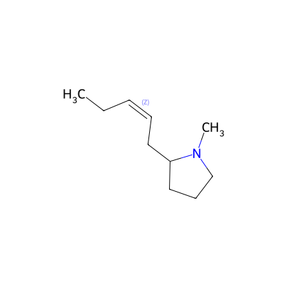 CC/C=C\CC1CCCN1C